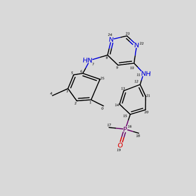 Cc1cc(C)cc(Nc2cc(Nc3ccc(P(C)(C)=O)cc3)ncn2)c1